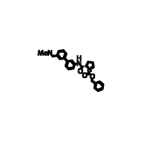 CNCc1cccc(-c2cccc(NC(=O)[C@@H]3CCCN3C(=O)OCc3ccccc3)c2)c1